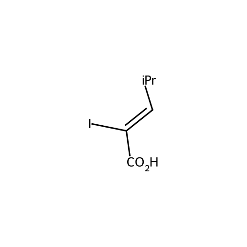 CC(C)C=C(I)C(=O)O